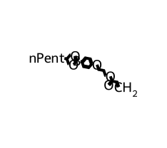 C=CC(=O)OCCCOc1ccc(B2OCC(CCCCC)CO2)cc1